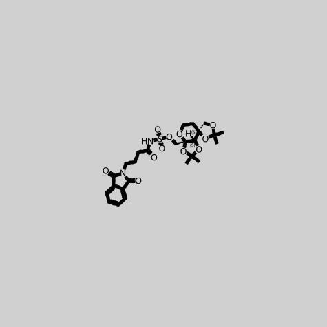 CC1(C)OC[C@]2(CCO[C@@]3(COS(=O)(=O)NC(=O)CCCN4C(=O)c5ccccc5C4=O)OC(C)(C)O[C@@H]23)O1